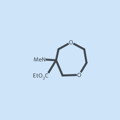 CCOC(=O)C1(NC)COCCOC1